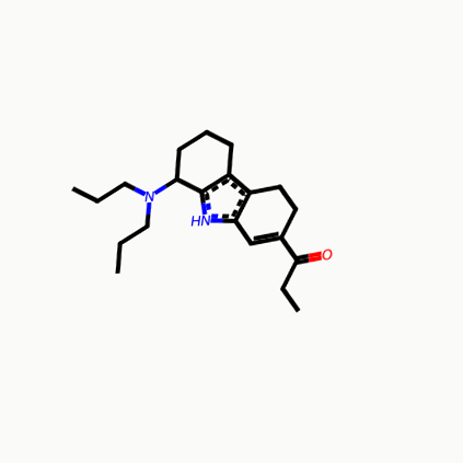 CCCN(CCC)C1CCCc2c1[nH]c1c2CCC(C(=O)CC)=C1